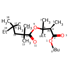 CCC(C)OC(=O)[C@H](C)C(C)(CC)OC(=O)C(C)(C)CC(C)(C)CC